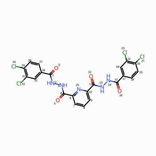 O=C(NNC(=O)c1cccc(C(=O)NNC(=O)c2ccc(Cl)c(Cl)c2)n1)c1ccc(Cl)c(Cl)c1